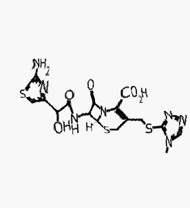 Cn1cnnc1SCC1=C(C(=O)O)N2C(=O)C(NC(=O)C(O)c3csc(N)n3)[C@@H]2SC1